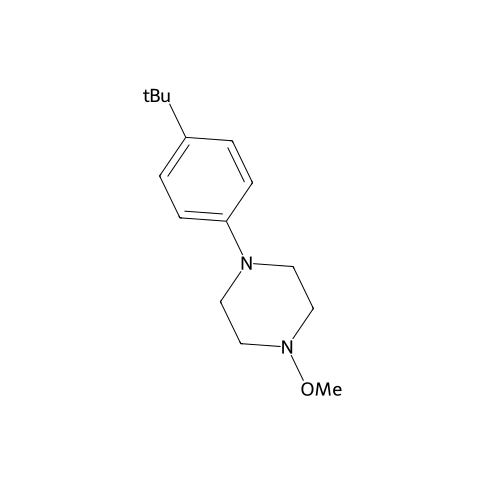 CON1CCN(c2ccc(C(C)(C)C)cc2)CC1